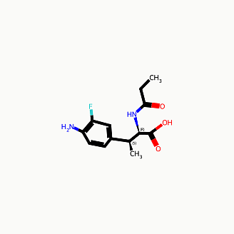 CCC(=O)N[C@@H](C(=O)O)[C@@H](C)c1ccc(N)c(F)c1